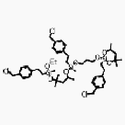 CCO[Si](C)(CCc1ccc(CCl)cc1)OC(C)(C)CC(C)O[Si](C)(CCc1ccc(CCl)cc1)OCCCO[Si]1(CCc2ccc(CCl)cc2)OC(C)CC(C)(C)O1